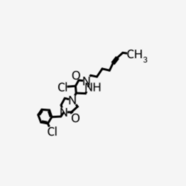 CCC#CCCCCN1NCC(N2CCN(Cc3ccccc3Cl)C(=O)C2)C(Cl)C1=O